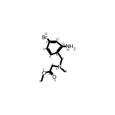 COC(=O)CN(C)Cc1ccc(Br)cc1N